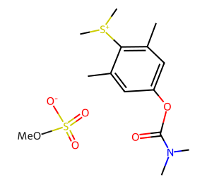 COS(=O)(=O)[O-].Cc1cc(OC(=O)N(C)C)cc(C)c1[S+](C)C